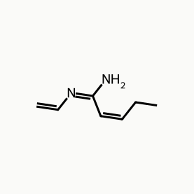 C=C/N=C(N)\C=C/CC